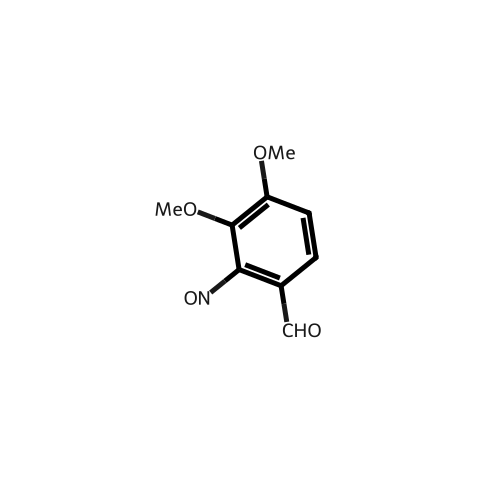 COc1ccc(C=O)c(N=O)c1OC